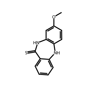 COc1ccc2c(c1)NC(=S)c1ccccc1N2